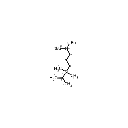 C=C(C)[Si](C)(C)CCCN(C(C)(C)C)C(C)(C)C